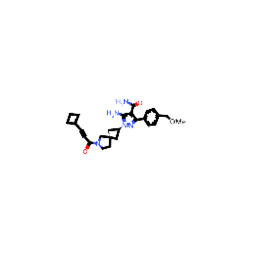 COCc1ccc(-c2nn([C@H]3C[C@@]4(CCN(C(=O)C#CC5CCC5)C4)C3)c(N)c2C(N)=O)cc1